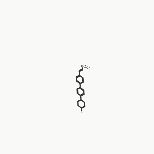 CCCCCCCCC=Cc1ccc(-c2ccc(C3CCC(F)CC3)cc2)cc1